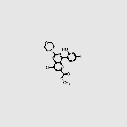 COC(=O)c1cc(Cl)c2nc(N3CCOCC3)nc(-c3ccc(F)cc3O)c2n1